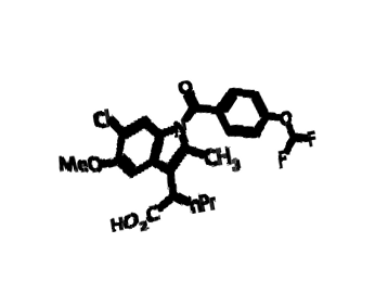 CCCC(C(=O)O)c1c(C)n(C(=O)c2ccc(OC(F)F)cc2)c2cc(Cl)c(OC)cc12